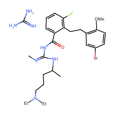 CCN(CC)CCCC(C)N/C(=N/C)NC(=O)c1cccc(F)c1CCc1cc(Br)ccc1OC.N=C(N)N